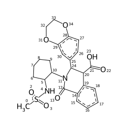 CS(=O)(=O)NC1CCCCC1N1C(=O)c2ccccc2C(C(=O)O)C1c1ccc2c(c1)OCCO2